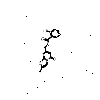 Cc1cn2c(=O)cc(COC(=O)c3ccccc3Cl)nc2s1